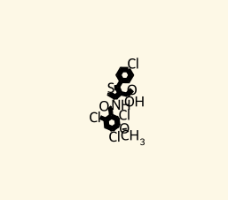 COc1c(Cl)cc(Cl)c(C(=O)Nc2csc(-c3ccc(Cl)cc3)c2C(=O)O)c1Cl